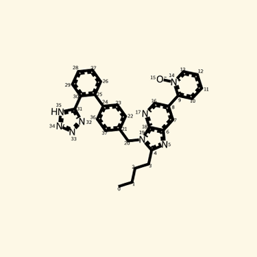 CCCCc1nc2cc(-c3cccc[n+]3[O-])cnc2n1Cc1ccc(-c2ccccc2-c2nnn[nH]2)cc1